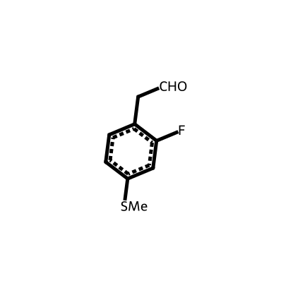 CSc1ccc(CC=O)c(F)c1